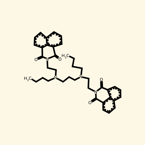 CCCCN(CCCN(CCCC)CCN1C(=O)c2cccc3cccc(c23)C1=O)CCN1C(=O)c2cccc3cccc(c23)C1=O